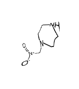 O=[N+]([O-])CN1CCNCC1